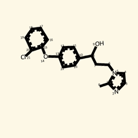 Cc1nccn1CCC(O)c1ccc(Oc2ccccc2Cl)cc1